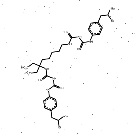 CCCCC(CC)Cc1ccc(NC(=N)NC(=N)NCCCCCC(CC(=O)O)(CC(=O)O)NC(=N)NC(=N)Nc2ccc(CC(CC)CCCC)cc2)cc1